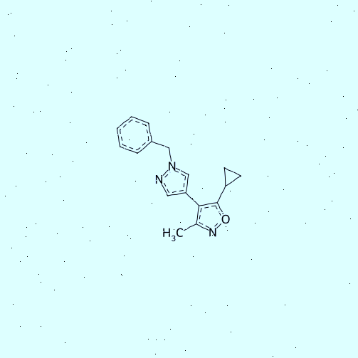 Cc1noc(C2CC2)c1-c1cnn(Cc2ccccc2)c1